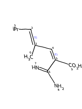 CC(=C\C(C)C)/C=C(\C(=N)N)C(=O)O